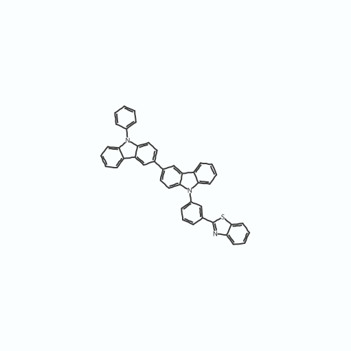 c1ccc(-n2c3ccccc3c3cc(-c4ccc5c(c4)c4ccccc4n5-c4cccc(-c5nc6ccccc6s5)c4)ccc32)cc1